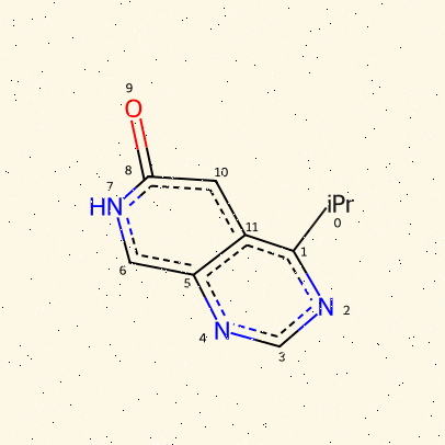 CC(C)c1ncnc2c[nH]c(=O)cc12